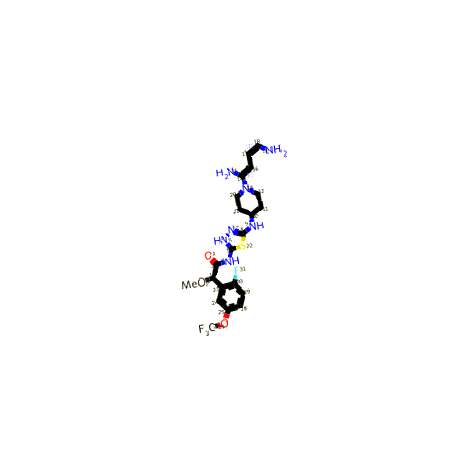 COC(C(=O)NC1NN=C(NC2CCN(/C(N)=C/C=C\N)CC2)S1)c1cc(OC(F)(F)F)ccc1F